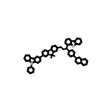 CC1(C)c2cc(CCC(c3ccc(-c4ccc5ccccc5c4)cc3)c3cccc4c3oc3ccccc34)ccc2-c2ccc(-c3ccc4c(c3)c3ccccc3n4-c3ccccc3)cc21